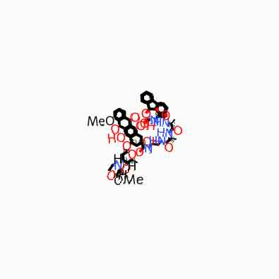 COc1cccc2c1C(=O)c1c(O)c3c(c(O)c1C2=O)C[C@@](O)(C(=O)N(C)CCNC(=O)[C@H](C)NC(=O)[C@H](C)NC(=O)[C@H](C)N(C)C(=O)OC1c2ccccc2-c2ccccc21)C[C@@H]3O[C@H]1C[C@H]2[C@H](O[C@@H]3[C@@H](OC)OCCN32)[C@H](C)O1